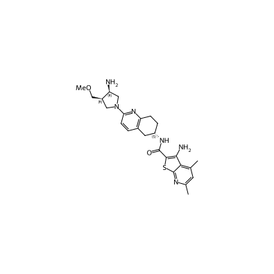 COC[C@@H]1CN(c2ccc3c(n2)CC[C@H](NC(=O)c2sc4nc(C)cc(C)c4c2N)C3)C[C@@H]1N